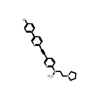 CN(CCN1CCCC1)c1ccc(C#Cc2ccc(-c3ccc(Cl)cc3)cn2)cn1